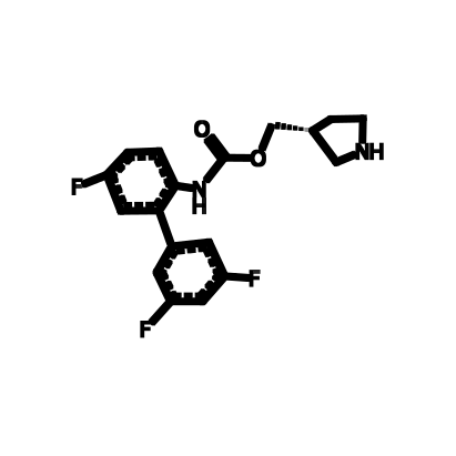 O=C(Nc1ccc(F)cc1-c1cc(F)cc(F)c1)OC[C@@H]1CCNC1